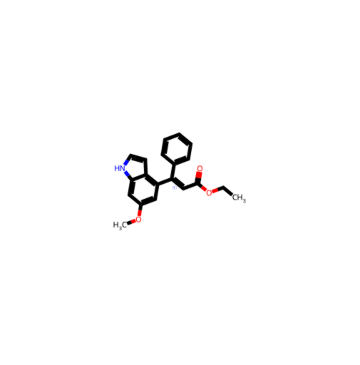 CCOC(=O)/C=C(\c1ccccc1)c1cc(OC)cc2[nH]ccc12